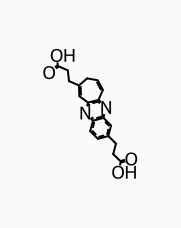 O=C(O)CCC1=Cc2nc3ccc(CCC(=O)O)cc3nc2C=CC1